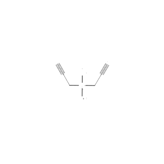 C#C[CH2][Sn]([CH2]C#C)([CH2]CCC)[CH2]CCC